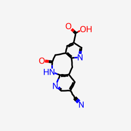 N#Cc1cnc2c(c1)Cc1ncc(C(=O)O)cc1CC(=O)N2